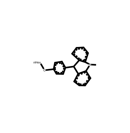 CCCCCCOc1ccc(C2c3ccccc3N(C)c3ccccc32)cc1